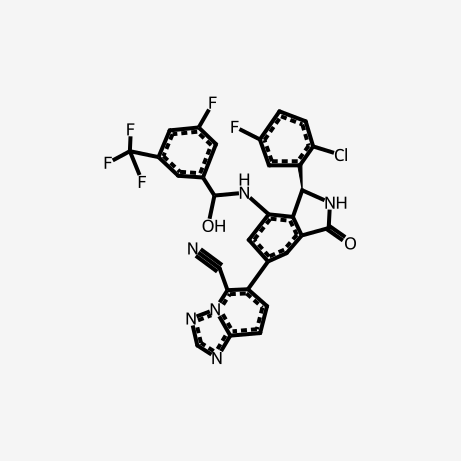 N#Cc1c(-c2cc(NC(O)c3cc(F)cc(C(F)(F)F)c3)c3c(c2)C(=O)N[C@@H]3c2cc(F)ccc2Cl)ccc2ncnn12